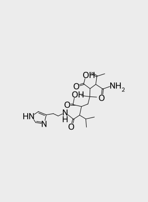 C=C(C)C(C(N)=O)C(C(=O)O)C(C)(C)CC(C(=O)O)C(C(=O)NCCc1c[nH]cn1)C(C)C